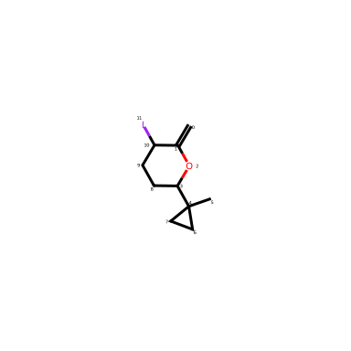 C=C1OC(C2(C)CC2)CCC1I